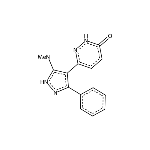 CNc1[nH]nc(-c2ccccc2)c1-c1ccc(=O)[nH]n1